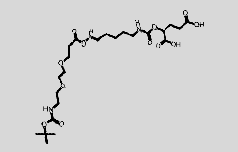 CC(C)(C)OC(=O)NCCOCCOCCC(=O)ONCCCCCNC(=O)O[C@@H](CCC(=O)O)C(=O)O